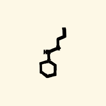 C=CC[N]NN1CCCCC1